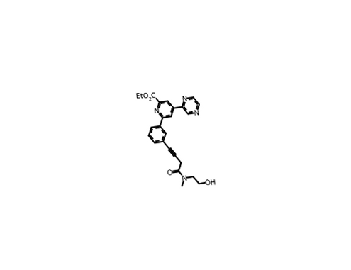 CCOC(=O)c1cc(-c2cnccn2)cc(-c2cccc(C#CCC(=O)N(C)CCO)c2)n1